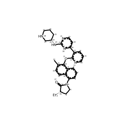 CC[C@H]1CCN(c2cccc3c(Oc4ncccc4-c4ccnc(N[C@H]5CCCNC5)n4)c(C)ccc23)C1=O